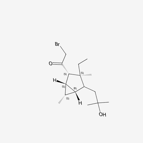 CC[C@@]1(C)C(CC(C)(C)O)[C@@H]2[C@H](C)[C@@H]2[C@@H]1C(=O)CBr